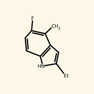 CCc1cc2c(C)c(F)ccc2[nH]1